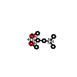 CN1c2ccccc2N(c2c(-n3c4ccccc4c4ccccc43)cc(-c3ccc(-c4nc(-c5ccccc5)nc(-c5ccccc5)n4)cc3)cc2-n2c3ccccc3c3ccccc32)c2ccccc21